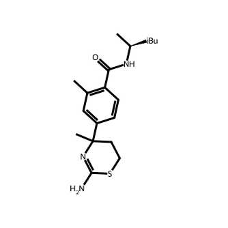 CCC(C)[C@H](C)NC(=O)c1ccc(C2(C)CCSC(N)=N2)cc1C